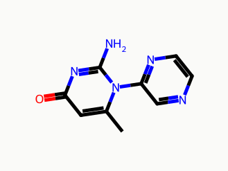 Cc1cc(=O)nc(N)n1-c1cnccn1